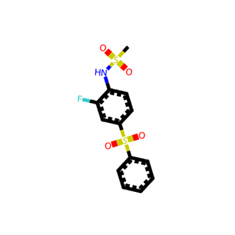 CS(=O)(=O)Nc1ccc(S(=O)(=O)c2ccccc2)cc1F